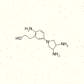 Nc1ccc(N2CC(N)C(N)C2)cc1CCO